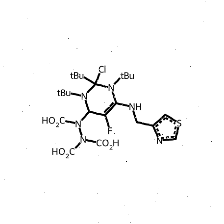 CC(C)(C)N1C(NCc2cscn2)=C(F)C(N(C(=O)O)N(C(=O)O)C(=O)O)N(C(C)(C)C)C1(Cl)C(C)(C)C